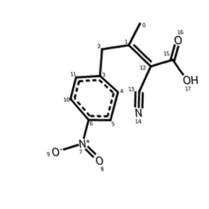 CC(Cc1ccc([N+](=O)[O-])cc1)=C(C#N)C(=O)O